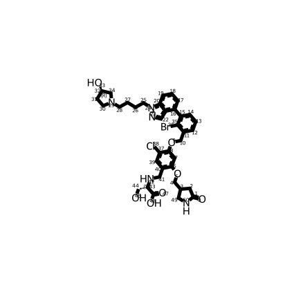 O=C1CC(COc2cc(OCc3cccc(-c4cccc5c4cnn5CCCCN4CC[C@@H](O)C4)c3Br)c(Cl)cc2CN[C@@H](CO)C(=O)O)CN1